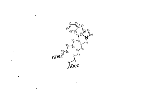 CCCCCCCCCCCCCCCCCCN1C=CN(Cc2ccccc2)C1CCCCCCCCCCCCCCCCC